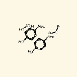 CCOCC.CNc1ccc(O)cc1.CNc1ccc(O)cc1.O=S(=O)(O)O